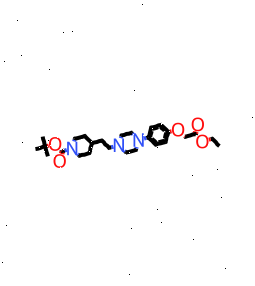 CCOC(=O)COc1ccc(N2CCN(CCC3CCN(C(=O)OC(C)(C)C)CC3)CC2)cc1